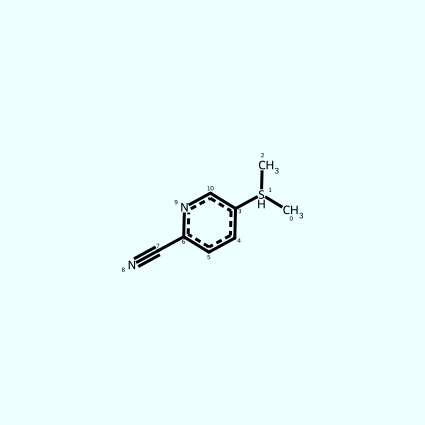 C[SH](C)c1ccc(C#N)nc1